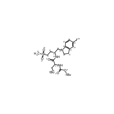 CC(C)(C)CC(NC(=O)OC(C)(C)C)C(=O)N[C@@H](CCS(C)(=O)=O)CN1CCc2cc(F)ccc21